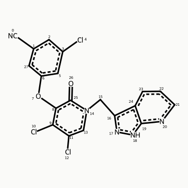 N#Cc1cc(Cl)cc(Oc2c(Cl)c(Cl)cn(Cc3n[nH]c4ncccc34)c2=O)c1